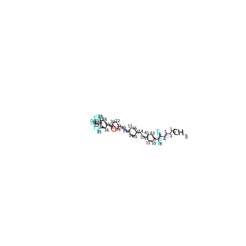 CCC/C=C/C(F)=C(\F)c1ccc(CCC2CCC(/C=C/C3CCC(c4cc(F)c(C(F)(F)F)c(F)c4)OC3)CC2)cc1